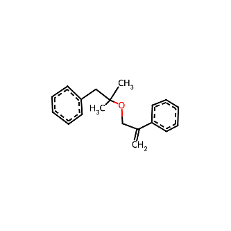 C=C(COC(C)(C)Cc1ccccc1)c1ccccc1